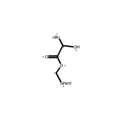 CCCCCCOC(=O)C(O)CCCC